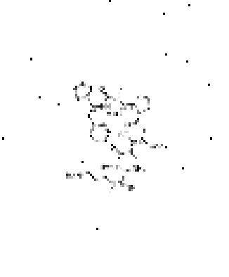 CC[C@H](C)[C@@H]([C@@H](CC(=O)N1CCC[C@H]1[C@H](OC)[C@@H](C)C(=O)N[C@@H](Cc1ccccc1)c1nccs1)OC)N(C)C(=O)[C@@H](C(C)C)C(N)[C@H](C(C)C)N(C)CCCNC